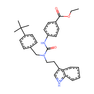 CCOC(=O)c1ccc(NC(=O)N(CCc2c[nH]c3ccccc23)Cc2ccc(C(C)(C)C)cc2)cc1